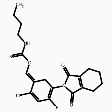 CCCCNC(=S)OC=C1CC(N2C(=O)C3=C(CCCC3)C2=O)=C(F)C=C1Cl